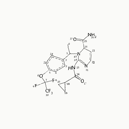 CC(c1ccc(OC(F)(F)C(F)(F)F)cc1)N1C(NC(=O)C2CC2)=NC=CC1C(N)=O